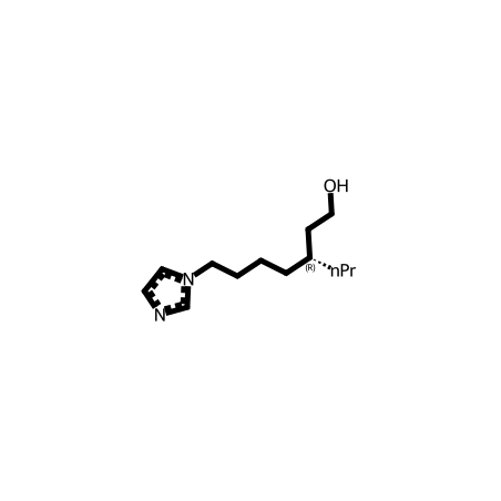 CCC[C@@H](CCO)CCCCn1ccnc1